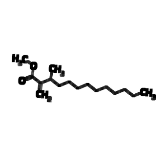 C=C(C(=O)OC)C(C)CCCCCCCCCC